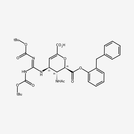 CC(=O)N[C@@H]1[C@@H](NC(=NC(=O)OC(C)(C)C)NC(=O)OC(C)(C)C)C=C(C(=O)O)O[C@H]1C(=O)Oc1ccccc1Cc1ccccc1